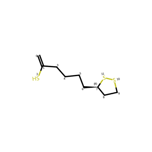 C=C(S)CCCC[C@@H]1CCSS1